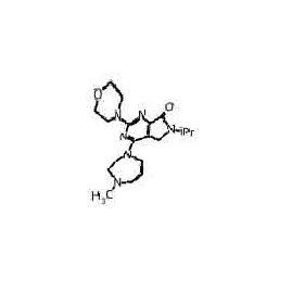 CC(C)N1Cc2c(nc(N3CCOCC3)nc2N2CCCN(C)CC2)C1=O